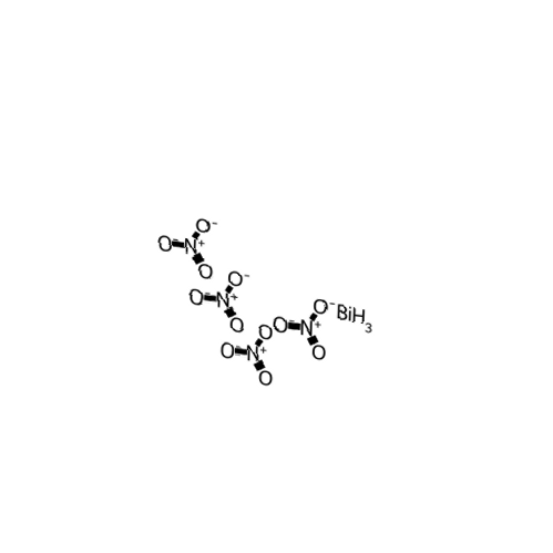 O=[N+]([O-])[O-].O=[N+]([O-])[O-].O=[N+]([O-])[O-].O=[N+]([O-])[O-].[BiH3]